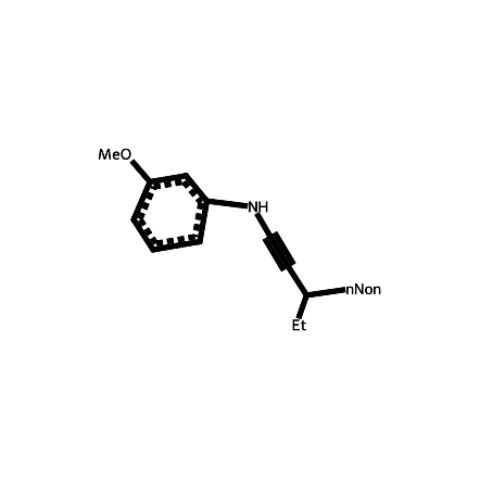 CCCCCCCCCC(C#CNc1cccc(OC)c1)CC